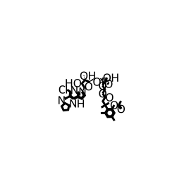 CC(=O)Oc1cc(C)cc(C)c1C(C)(C)CC(=O)OCOP(=O)(O)COC[C@H]1O[C@@H](n2ccc3c(NC4CCCC4)c(C#N)c(Cl)nc32)[C@H](O)[C@@H]1O